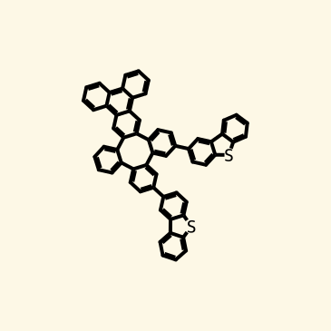 c1ccc2c(c1)-c1ccc(-c3ccc4sc5ccccc5c4c3)cc1-c1cc(-c3ccc4sc5ccccc5c4c3)ccc1-c1cc3c4ccccc4c4ccccc4c3cc1-2